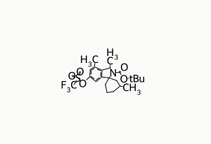 Cc1cc(OS(=O)(=O)C(F)(F)F)cc2c1C(C)N(C(=O)OC(C)(C)C)C21CCCC(C)C1